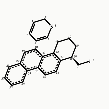 C1=CCSC=C1.IC[C@@H]1CCCc2c1ccc1c2ccc2ccccc21